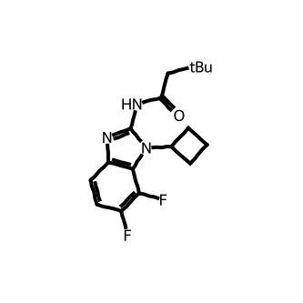 CC(C)(C)CC(=O)Nc1nc2ccc(F)c(F)c2n1C1CCC1